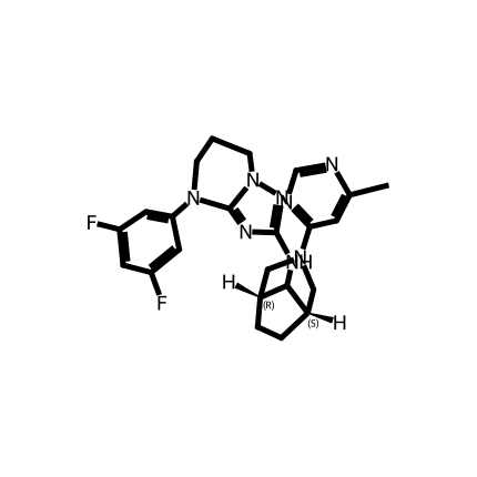 Cc1cc(N2C[C@H]3CC[C@@H](C2)C3Nc2nc3n(n2)CCCN3c2cc(F)cc(F)c2)ncn1